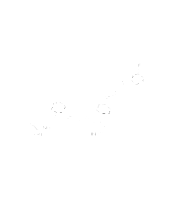 O=C(O)NCCc1ccccc1OCCOC1CNCCC1c1ccc(OCCCOc2cccc(F)c2)cc1